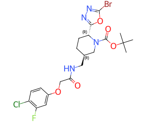 CC(C)(C)OC(=O)N1C[C@@H](CNC(=O)COc2ccc(Cl)c(F)c2)CC[C@@H]1c1nnc(Br)o1